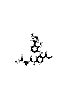 CCC(=O)c1cnc(NC(=O)[C@@H]2C[C@@H]2C(N)=O)cc1Nc1cccc(-c2ncn(C)n2)c1OC